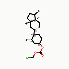 CC[C@H]1C[C@H](OC(=O)OCCl)CC[C@]1(C)[C@H]1CC[C@]2(C)C(C(C)=O)CC[C@H]2C1